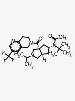 CC(C)N1C[C@@H]2C[C@@H](N(C(=O)O)C(C)(C)C)C[C@]2(C(=O)N2CCc3ncc(C(F)(F)F)cc3C2)C1